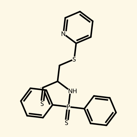 S=[C]C(CSc1ccccn1)NP(=S)(c1ccccc1)c1ccccc1